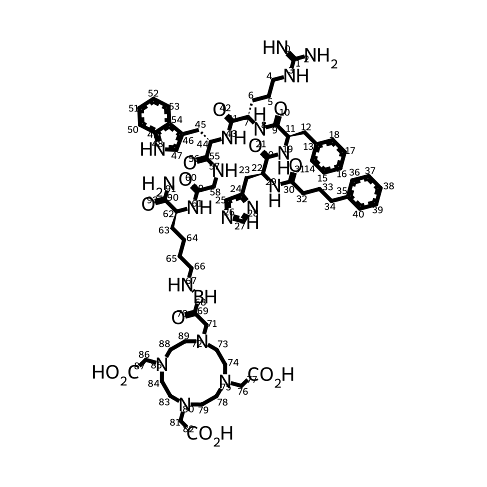 N=C(N)NCCC[C@H](NC(=O)[C@@H](Cc1ccccc1)NC(=O)[C@H](Cc1cnc[nH]1)NC(=O)CCCc1ccccc1)C(=O)N[C@@H](Cc1c[nH]c2ccccc12)C(=O)NCC(=O)N[C@@H](CCCCNBC(=O)CN1CCN(CC(=O)O)CCN(CC(=O)O)CCN(CC(=O)O)CC1)C(N)=O